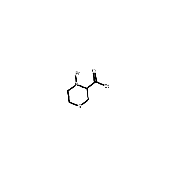 CCC(=O)C1CSCCN1C(C)C